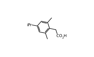 Cc1cc(C(C)C)cc(C)c1CC(=O)O